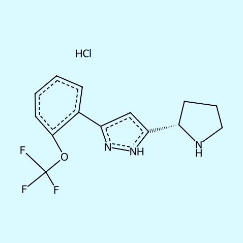 Cl.FC(F)(F)Oc1ccccc1-c1cc([C@@H]2CCCN2)[nH]n1